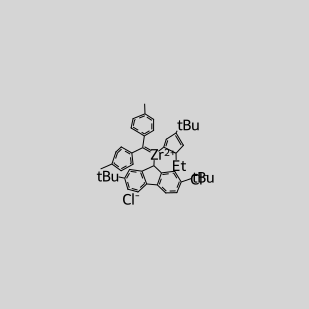 CCC1C=C(C(C)(C)C)C=[C]1[Zr+2](=[C](c1ccc(C)cc1)c1ccc(C)cc1)[CH]1c2cc(C(C)(C)C)ccc2-c2ccc(C(C)(C)C)cc21.[Cl-].[Cl-]